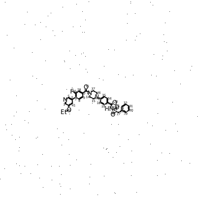 CCOc1cncc(-c2ccc(C(=O)N3CCN(c4ccc(C(=O)NS(=O)(=O)Cc5ccccc5)cc4)CC3)cc2F)c1